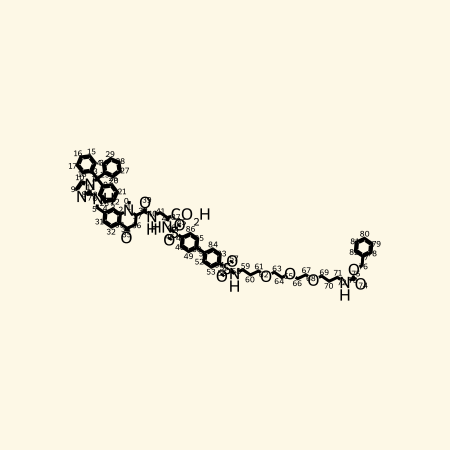 CN1c2cc(CNc3nccn3C(c3ccccc3)(c3ccccc3)c3ccccc3)ccc2C(=O)CC1C(=O)NCC(NS(=O)(=O)c1ccc(-c2ccc(S(=O)(=O)NCCCOCCOCCOCCCNC(=O)OCc3ccccc3)cc2)cc1)C(=O)O